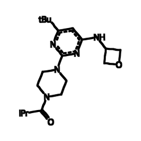 CC(C)C(=O)N1CCN(c2nc(NC3COC3)cc(C(C)(C)C)n2)CC1